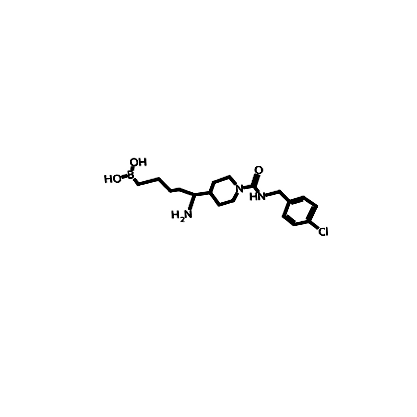 NC(CCCCB(O)O)C1CCN(C(=O)NCc2ccc(Cl)cc2)CC1